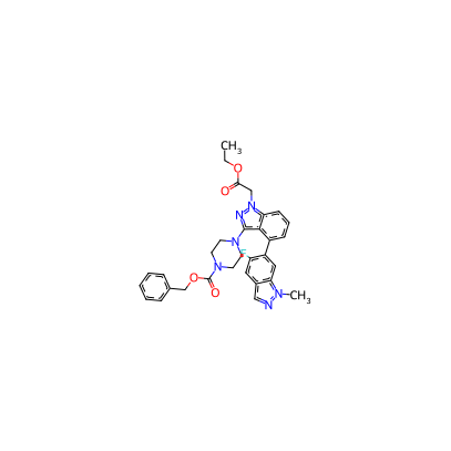 CCOC(=O)Cn1nc(N2CCN(C(=O)OCc3ccccc3)CC2)c2c(-c3cc4c(cnn4C)cc3F)cccc21